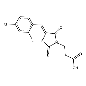 O=C(O)CCN1C(=O)C(=Cc2ccc(Cl)cc2Cl)SC1=S